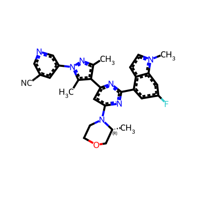 Cc1nn(-c2cncc(C#N)c2)c(C)c1-c1cc(N2CCOC[C@H]2C)nc(-c2cc(F)cc3c2ccn3C)n1